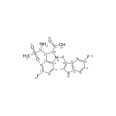 CS(=O)(=O)C(N)C1c2cc(F)ccc2N(Cc2csc3ccc(F)cc23)C1C(=O)O